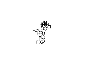 [2H]C([2H])([2H])Oc1c(OCc2cc(Cl)c(C([2H])([2H])[2H])c(F)c2C(=O)O)ccc(OC(F)(F)F)c1F